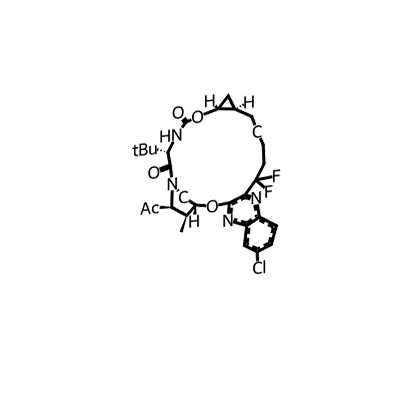 CC(=O)[C@@H]1[C@H](C)[C@@H]2CN1C(=O)[C@H](C(C)(C)C)NC(=O)O[C@@H]1C[C@H]1CCCCC(F)(F)c1nc3ccc(Cl)cc3nc1O2